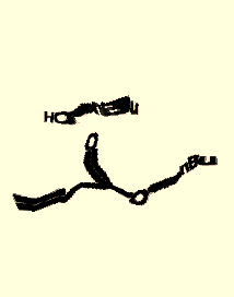 C=CC(=O)OCCCC.CCCCO